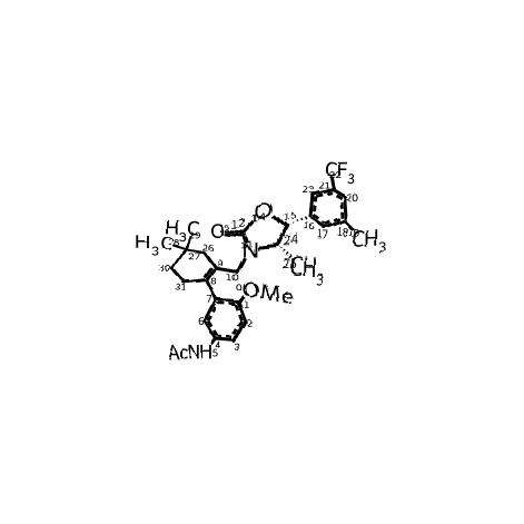 COc1ccc(NC(C)=O)cc1C1=C(CN2C(=O)O[C@H](c3cc(C)cc(C(F)(F)F)c3)[C@@H]2C)CC(C)(C)CC1